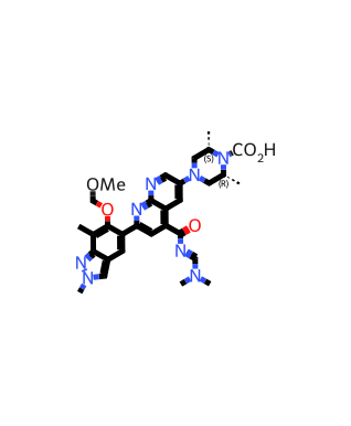 COCOc1c(-c2cc(C(=O)N=CN(C)C)c3cc(N4C[C@@H](C)N(C(=O)O)[C@@H](C)C4)cnc3n2)cc2cn(C)nc2c1C